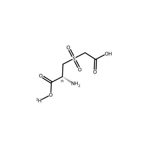 [2H]OC(=O)[C@@H](N)CS(=O)(=O)CC(=O)O